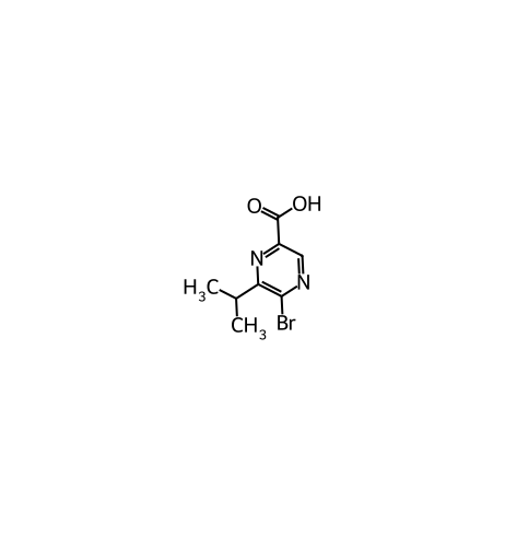 CC(C)c1nc(C(=O)O)cnc1Br